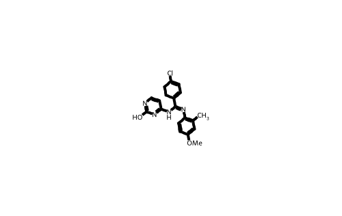 COc1ccc(/N=C(\Nc2ccnc(O)n2)C2=CC=C(Cl)CC2)c(C)c1